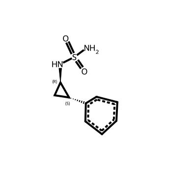 NS(=O)(=O)N[C@@H]1C[C@H]1c1ccccc1